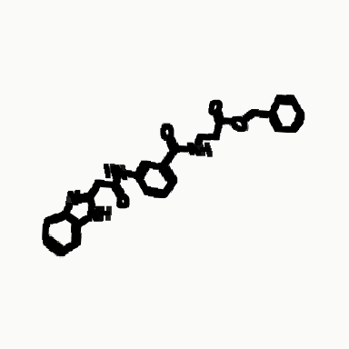 O=C(Cc1nc2ccccc2[nH]1)Nc1cccc(C(=O)NCCC(=O)OCc2ccccc2)c1